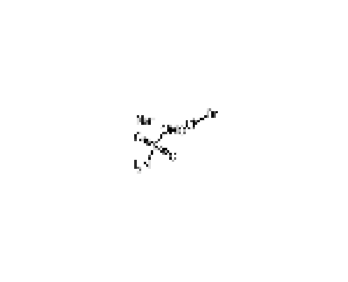 ClBr.NS(=O)(=O)O.[Na+].[OH-]